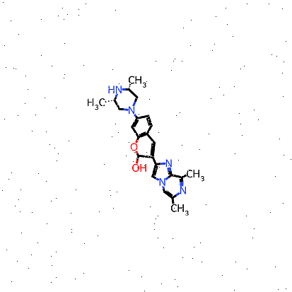 Cc1cn2cc(C3=Cc4ccc(N5C[C@@H](C)N[C@@H](C)C5)cc4OC3O)nc2c(C)n1